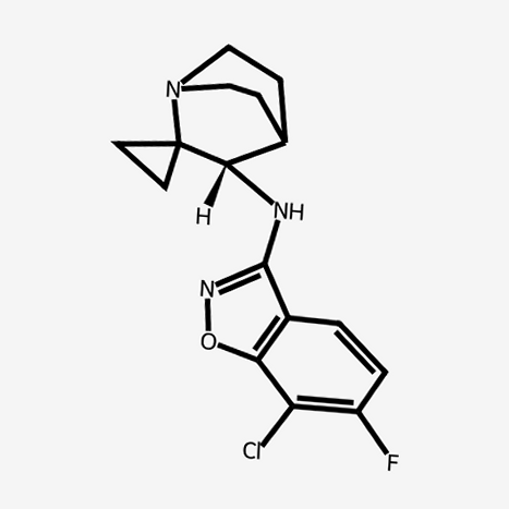 Fc1ccc2c(N[C@H]3C4CCN(CC4)C34CC4)noc2c1Cl